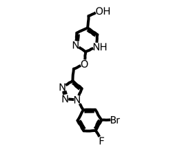 OCC1=CNC(OCc2cn(-c3ccc(F)c(Br)c3)nn2)N=C1